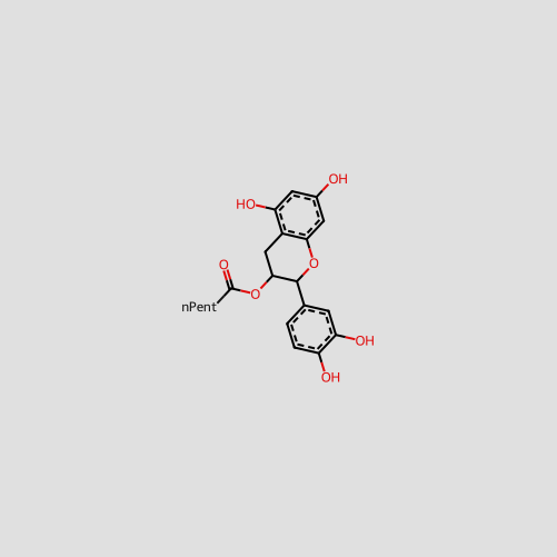 CCCCCC(=O)OC1Cc2c(O)cc(O)cc2OC1c1ccc(O)c(O)c1